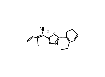 C=C/C(C)=C(\N)c1cnc(C2=C(CC)C=CCC2)s1